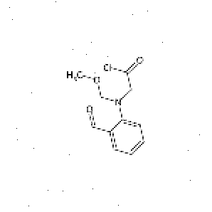 COCN(CC(=O)Cl)c1ccccc1C=O